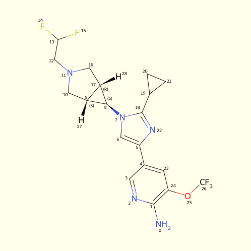 Nc1ncc(-c2cn([C@H]3[C@@H]4CN(CC(F)F)C[C@@H]43)c(C3CC3)n2)cc1OC(F)(F)F